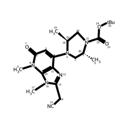 C[C@@H]1CN(c2cc(=O)n(C)c3c2nc(CC#N)n3C)[C@@H](C)CN1C(=O)OC(C)(C)C